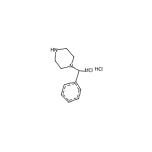 CC(c1ccccc1)N1CCNCC1.Cl.Cl